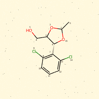 CC1OC(CO)[C@@H](c2c(Cl)cccc2Cl)O1